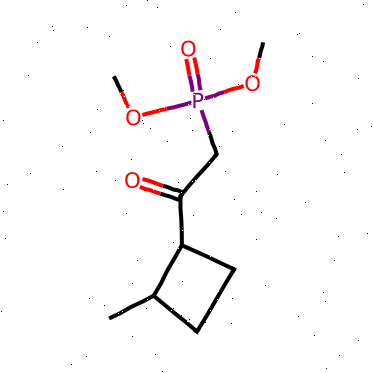 COP(=O)(CC(=O)C1CCC1C)OC